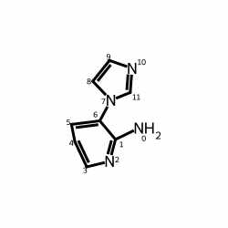 Nc1ncccc1-n1ccnc1